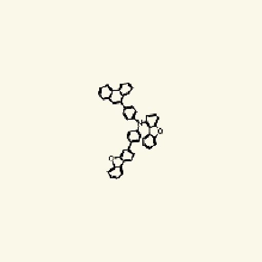 c1ccc2c(c1)cc(-c1ccc(N(c3ccc(-c4ccc5c(c4)oc4ccccc45)cc3)c3cccc4oc5ccccc5c34)cc1)c1ccccc12